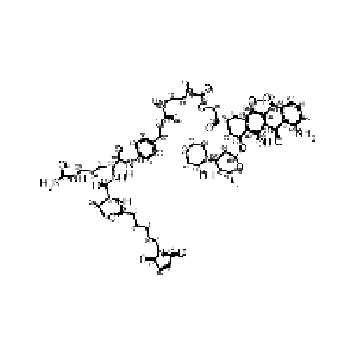 CC(C)[C@H](NC(=O)CCCCCN1C(=O)C=CC1=O)C(=O)N[C@@H](CCCNC(N)=O)C(=O)Nc1ccc(COC(=O)N(C)CCN(C)C(=O)OCC(=O)[C@@H]2Cc3c(O)c4c(c(O)c3C(O[C@H]3C[C@H](N5CCOC[C@H]5O)C[C@H](C)O3)C2)C(=O)c2c(N)cccc2C4=O)cc1